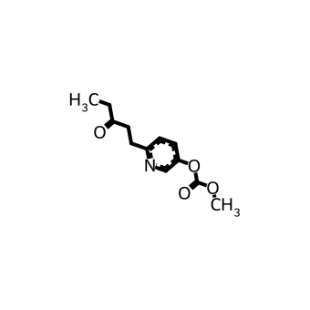 CCC(=O)CCc1ccc(OC(=O)OC)cn1